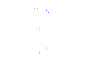 CO/N=C\Cc1cnc(SCCC(F)=C(F)F)s1